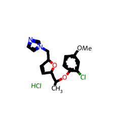 COc1ccc(OC(C)C2C=CC(Cn3ccnc3)O2)c(Cl)c1.Cl